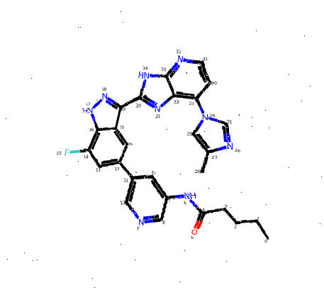 CCCCC(=O)Nc1cncc(-c2cc(F)c3[nH]nc(-c4nc5c(-n6cnc(C)c6)ccnc5[nH]4)c3c2)c1